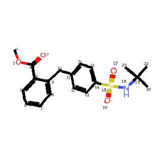 COC(=O)c1ccccc1Cc1ccc(S(=O)(=O)NC(C)(C)C)cc1